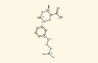 CC(C)C(=O)N1C[C@H](c2cccc(OCCN(C)C)c2)NC[C@H]1C